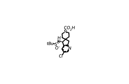 CC(C)(C)[S+]([O-])N[C@@H]1c2cc(Cl)cnc2CC12CCN(C(=O)O)CC2